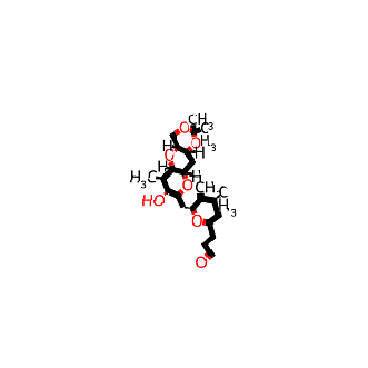 C=C1[C@H](C)CC(CCC=O)O[C@@H]1CC1O[C@H]2C[C@H]3OC(C)(C)OC[C@H]3O[C@H]2[C@H](C)[C@H]1O